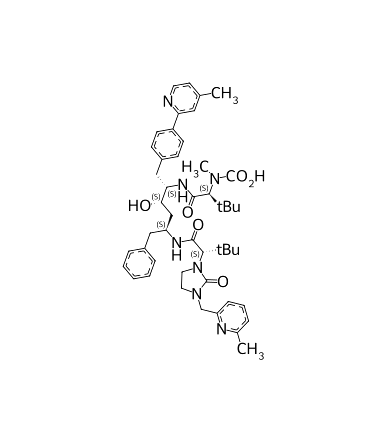 Cc1ccnc(-c2ccc(C[C@H](NC(=O)[C@@H](N(C)C(=O)O)C(C)(C)C)[C@@H](O)C[C@H](Cc3ccccc3)NC(=O)[C@@H](N3CCN(Cc4cccc(C)n4)C3=O)C(C)(C)C)cc2)c1